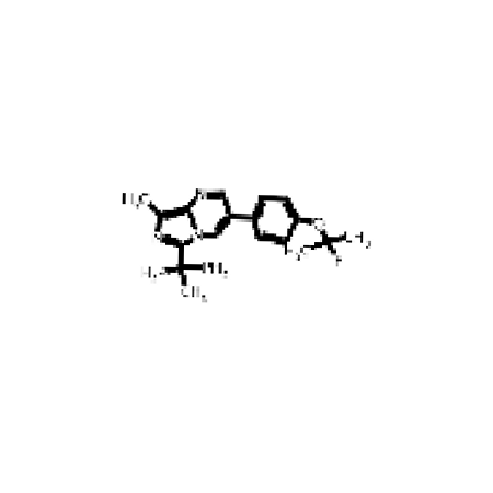 Cc1nc(C(C)(P)P)n2cc(-c3ccc(OC(C)(C)F)cc3)cnc12